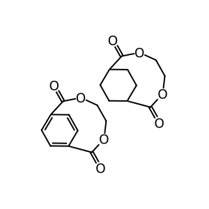 O=C1OCCOC(=O)C2CCC1CC2.O=C1OCCOC(=O)c2ccc1cc2